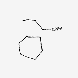 C1CCCCC1.CCCO